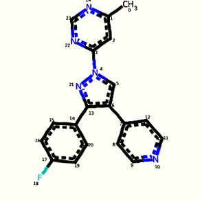 Cc1cc(-n2cc(-c3ccncc3)c(-c3ccc(F)cc3)n2)ncn1